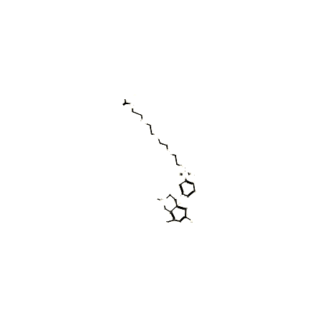 CCCCCCCCCCC(=O)NCCOCCOCCOCCNS(=O)(=O)c1cccc([C@@H]2CN(C)Cc3c(Cl)cc(Cl)cc32)c1